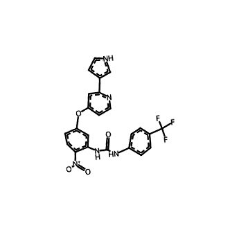 O=C(Nc1ccc(C(F)(F)F)cc1)Nc1cc(Oc2ccnc(-c3cc[nH]c3)c2)ccc1[N+](=O)[O-]